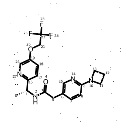 C[C@@H](NC(=O)Cc1ccc(N2CCC2)nc1)c1ccc(OCC(F)(F)F)cn1